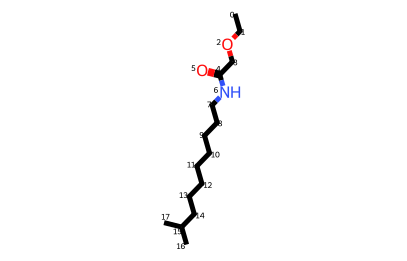 CCOCC(=O)NCCCCCCCCC(C)C